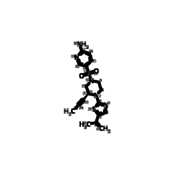 C=C(C)c1cnc(N2CCN(S(=O)(=O)c3ccc(N)nc3)C[C@@H]2C#CC)s1